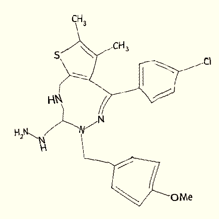 COc1ccc(CN2N=C(c3ccc(Cl)cc3)c3c(sc(C)c3C)NC2NN)cc1